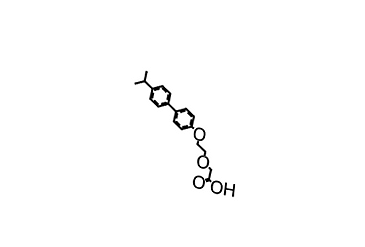 CC(C)c1ccc(-c2ccc(OCCOCC(=O)O)cc2)cc1